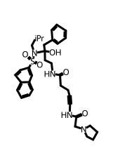 CC(C)CN(C(O)(CCNC(=O)CCC#CNC(=O)CN1CCCC1)Cc1ccccc1)S(=O)(=O)c1ccc2ccccc2c1